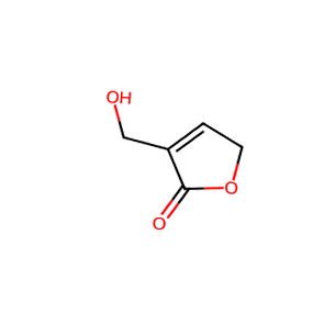 O=C1OCC=C1CO